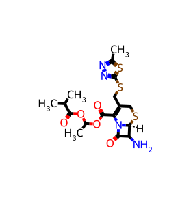 Cc1nnc(SCC2=C(C(=O)OC(C)OC(=O)C(C)C)N3C(=O)C(N)[C@@H]3SC2)s1